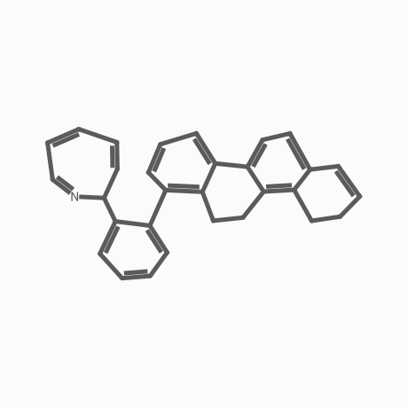 C1=CC=NC(c2ccccc2-c2cccc3c2CCc2c-3ccc3c2CCC=C3)C=C1